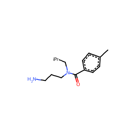 Cc1ccc(C(=O)N(CCCN)CC(C)C)cc1